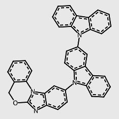 c1ccc2c(c1)COc1nc3ccc(-n4c5ccccc5c5cc(-n6c7ccccc7c7ccccc76)ccc54)cc3n1-2